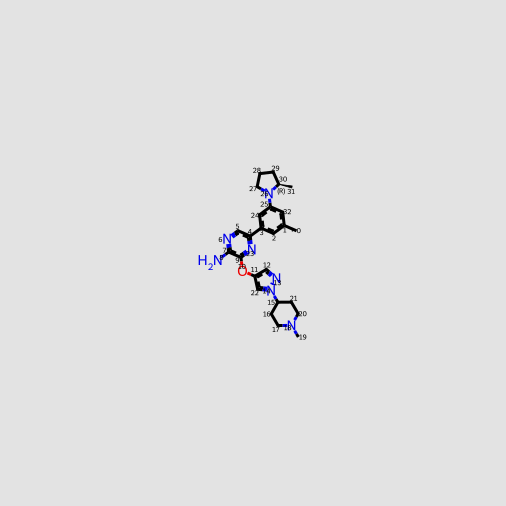 [CH2]c1cc(-c2cnc(N)c(Oc3cnn(C4CCN(C)CC4)c3)n2)cc(N2CCC[C@H]2C)c1